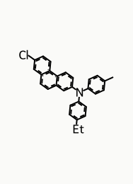 CCc1ccc(N(c2ccc(C)cc2)c2ccc3c(ccc4cc(Cl)ccc43)c2)cc1